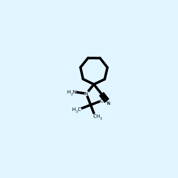 CC(C)(C)N(N)C1(C#N)CCCCCC1